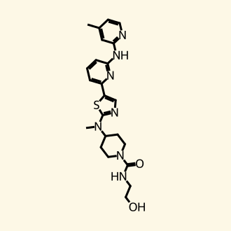 Cc1ccnc(Nc2cccc(-c3cnc(N(C)C4CCN(C(=O)NCCO)CC4)s3)n2)c1